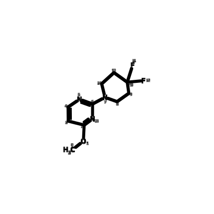 COc1ccnc(N2CCC(F)(F)CC2)n1